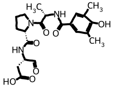 Cc1cc(C(=O)N[C@@H](C)C(=O)N2CCC[C@H]2C(=O)N[C@H](C=O)CC(=O)O)cc(C)c1O